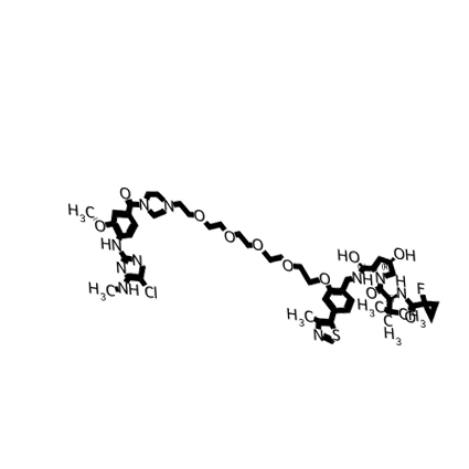 CNc1nc(Nc2ccc(C(=O)N3CCN(CCOCCOCCOCCOCCOc4cc(-c5scnc5C)ccc4CN[C@@H](O)C4C[C@@H](O)CN4C(=O)[C@@H](NC(=O)C4(F)CC4)C(C)(C)C)CC3)cc2OC)ncc1Cl